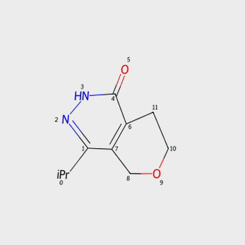 CC(C)c1n[nH]c(=O)c2c1COCC2